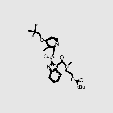 Cc1c(OCC(C)(F)F)ccnc1C[S@@+]([O-])c1nc2ccccc2n1C(=O)N(C)CCOC(=O)C(C)(C)C